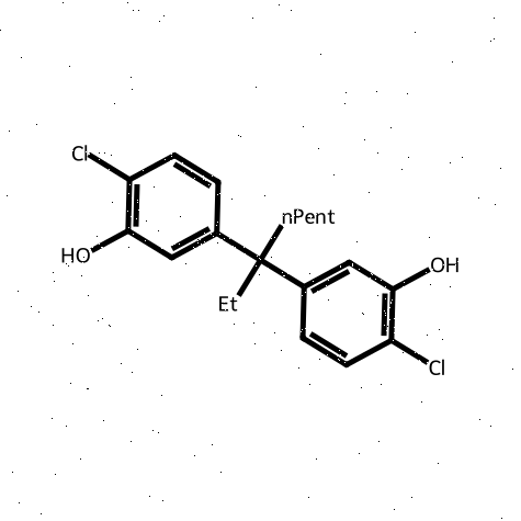 CCCCCC(CC)(c1ccc(Cl)c(O)c1)c1ccc(Cl)c(O)c1